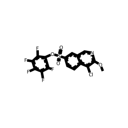 COc1ncc2cc(S(=O)(=O)Oc3c(F)c(F)c(F)c(F)c3F)ccc2c1Cl